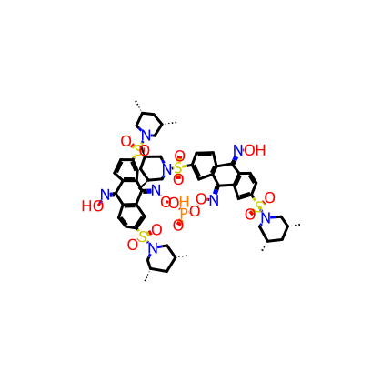 C[C@@H]1C[C@H](C)CN(S(=O)(=O)c2ccc3c(c2)C(=NOO[PH](=O)OON=C2c4cc(S(=O)(=O)N5C[C@H](C)C[C@H](C)C5)ccc4C(=NO)c4ccc(S(=O)(=O)N5C[C@H](C)C[C@H](C)C5)cc42)c2cc(S(=O)(=O)N4C[C@H](C)C[C@H](C)C4)ccc2C3=NO)C1